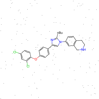 CCCCc1nc(-c2ccc(Oc3ccc(Cl)cc3Cl)cc2)cn1-c1ccc2c(c1)CNCC2